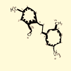 Cc1ccc(CCc2cc(C)ccc2C)c(Cl)c1